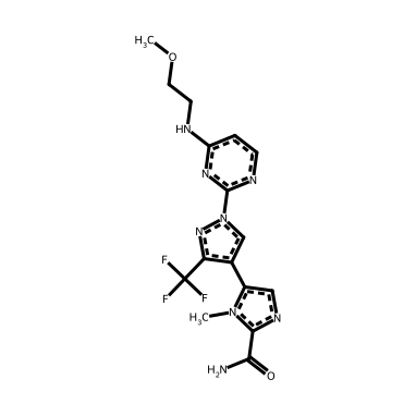 COCCNc1ccnc(-n2cc(-c3cnc(C(N)=O)n3C)c(C(F)(F)F)n2)n1